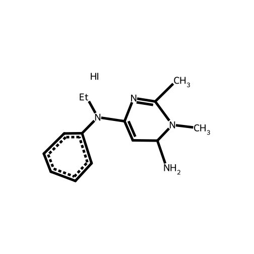 CCN(C1=CC(N)N(C)C(C)=N1)c1ccccc1.I